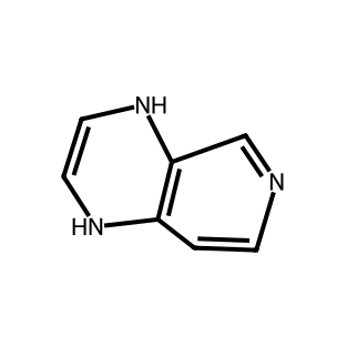 C1=CNc2cnccc2N1